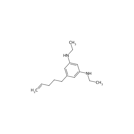 C=CCCCc1cc(NCC)cc(NCC)c1